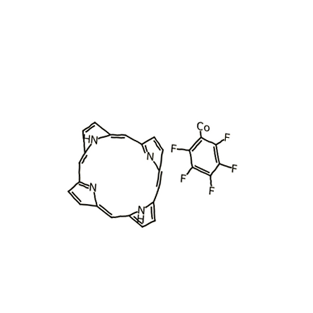 C1=Cc2cc3ccc(cc4nc(cc5ccc(cc1n2)[nH]5)C=C4)[nH]3.Fc1c(F)c(F)[c]([Co])c(F)c1F